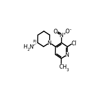 Cc1cc(N2CCC[C@@H](N)C2)c([N+](=O)[O-])c(Cl)n1